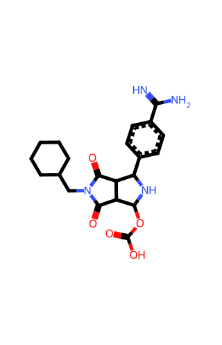 N=C(N)c1ccc(C2NC(OC(=O)O)C3C(=O)N(CC4CCCCC4)C(=O)C23)cc1